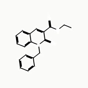 CCOC(=O)c1cc2ccccc2n(Cc2ccccc2)c1=O